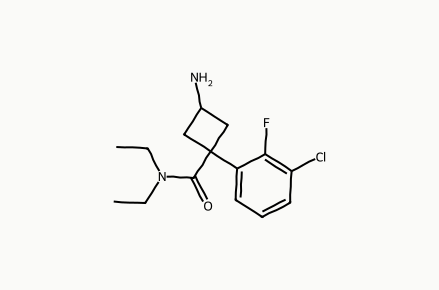 CCN(CC)C(=O)C1(c2cccc(Cl)c2F)CC(N)C1